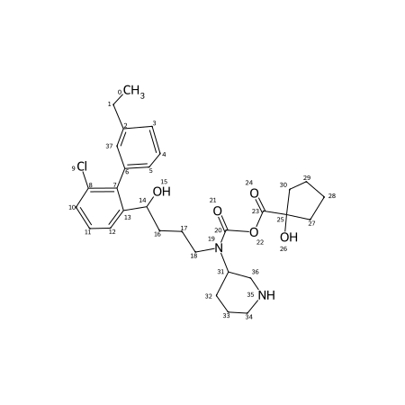 CCc1cccc(-c2c(Cl)cccc2C(O)CCCN(C(=O)OC(=O)C2(O)CCCC2)C2CCCNC2)c1